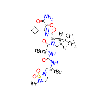 CC(C)N1CCN(C[C@@H](NC(=O)N[C@H](C(=O)N2C[C@H]3[C@@H]([C@H]2C(=O)NC(C(=O)C(N)=O)C2CCC2)C3(C)C)C(C)(C)C)C(C)(C)C)S1(=O)=O